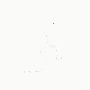 CC(C)(C)C(=O)Oc1cc(CN)[nH]n1